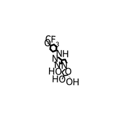 OC[C@H]1OC(n2ccc3c(Nc4ccc(OC(F)(F)F)cc4)ncnc32)C(O)[C@@H]1O